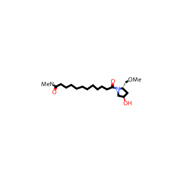 CNC(=O)CCCCCCCCCCC(=O)N1C[C@H](O)C[C@H]1COC